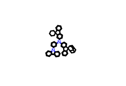 c1cc(N(c2ccc3c(c2)-c2ccccc2C32C3CC4CC(C3)CC2C4)c2ccc3c(c2)C2(CCCCC2)c2ccccc2-3)cc(-n2c3ccccc3c3ccccc32)c1